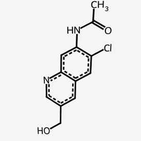 CC(=O)Nc1cc2ncc(CO)cc2cc1Cl